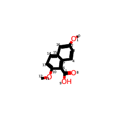 COc1ccc2c(C(=O)O)c(OC)ccc2c1